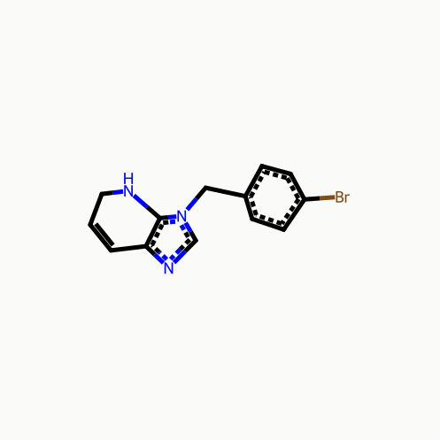 Brc1ccc(Cn2cnc3c2NCC=C3)cc1